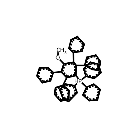 COc1c(-c2ccccc2)c(-c2ccccc2)c([PH](c2ccccc2)(c2ccccc2)c2ccccc2)c(-c2ccccc2)c1-c1ccccc1